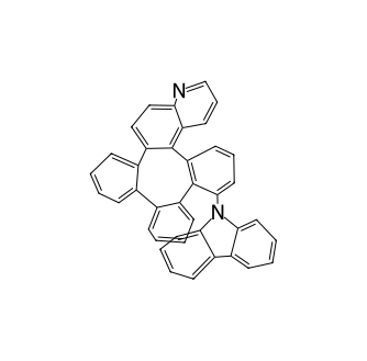 c1ccc2c(c1)-c1ccccc1-c1c(cccc1-n1c3ccccc3c3ccccc31)-c1c-2ccc2ncccc12